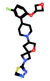 Fc1ccc(OC2COC2)c(C2CCN(C3COC4(C3)CN(c3nncs3)C4)CC2)c1